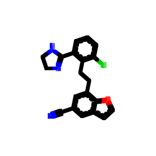 N#Cc1cc(CCc2c(Cl)cccc2C2=NCCN2)c2occc2c1